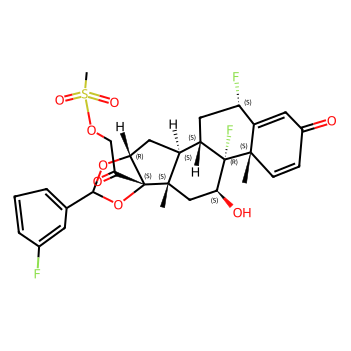 C[C@]12C=CC(=O)C=C1[C@@H](F)C[C@H]1[C@@H]3C[C@H]4OC(c5cccc(F)c5)O[C@@]4(C(=O)COS(C)(=O)=O)[C@@]3(C)C[C@H](O)[C@@]12F